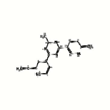 C=C=C/C=C(\C=C/C)c1nc(C)nc(C(/C=C\C=C)=C/CC)n1